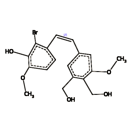 COc1ccc(/C=C\c2cc(CO)c(CO)c(OC)c2)c(Br)c1O